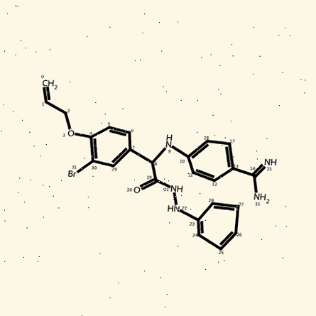 C=CCOc1ccc(C(Nc2ccc(C(=N)N)cc2)C(=O)NNc2ccccc2)cc1Br